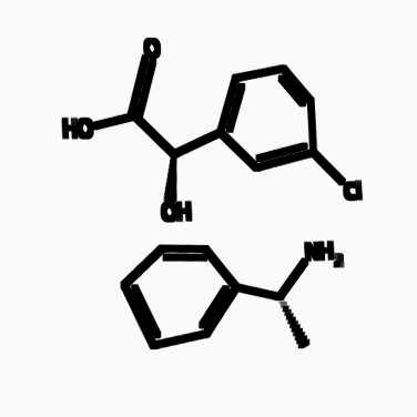 C[C@@H](N)c1ccccc1.O=C(O)[C@H](O)c1cccc(Cl)c1